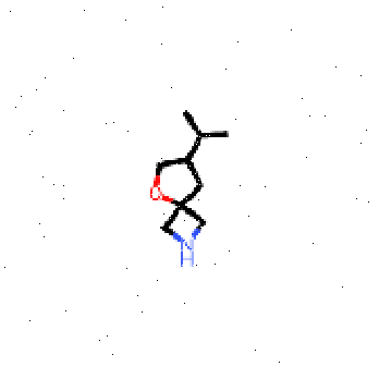 CC(C)C1COC2(CNC2)C1